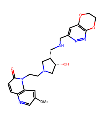 COc1cnc2ccc(=O)n(CCN3C[C@H](CNCc4cc5c(nn4)OCCO5)[C@H](O)C3)c2c1